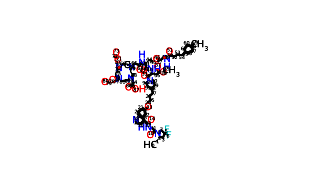 C#C[C@H]1CC(F)(F)CN1C(=O)CNC(=O)c1ccnc2ccc(OCCCCC3CCN(C(=O)[C@H](CC(=O)OC)NC(=O)[C@H](CCOCCNC(=O)CCCc4ccc(C)cc4)NC(=O)CN4CCN(COC=O)CCN(COC=O)CCN(CC(=O)O)CC4)CC3)cc12